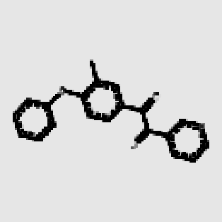 Cc1cc(C(=O)C(=O)c2cccnc2)ccc1Oc1ccccc1